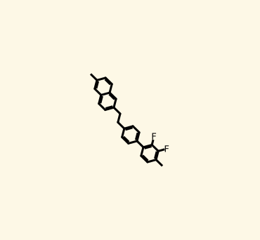 Cc1ccc2cc(CCc3ccc(-c4ccc(C)c(F)c4F)cc3)ccc2c1